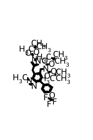 Cn1cnc2c(-c3ccc(OC(F)(F)F)cc3)cc(CN(C(=O)OC(C)(C)C)C(=O)OC(C)(C)C)c(Cc3cnn(C(=O)OC(C)(C)C)c3)c21